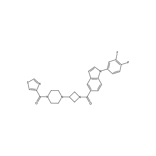 O=C(c1ccc2c(ccn2-c2ccc(F)c(F)c2)c1)N1CC(N2CCN(C(=O)c3cscn3)CC2)C1